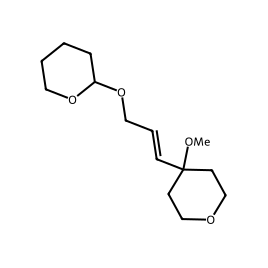 COC1(C=CCOC2CCCCO2)CCOCC1